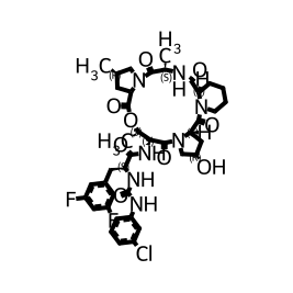 C[C@@H]1CC2C(=O)O[C@@H](C)[C@H](NC(=O)[C@H](Cc3cc(F)cc(F)c3)NC(=O)Nc3cccc(Cl)c3)C(=O)N3C[C@H](O)C[C@H]3C(=O)N3CCCC[C@H]3C(=O)N[C@@H](C)C(=O)N2C1